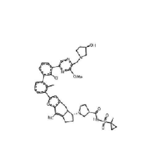 COc1nc(-c2cccc(-c3cccc(-c4cc5c(o4)C(C#N)=C4CC[C@@H](N6CC[C@@H](C(=O)NS(=O)(=O)C7(C)CC7)C6)C4C5)c3C)c2Cl)cnc1CN1CC[C@@H](O)C1